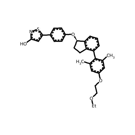 CCOCCOc1cc(C)c(-c2cccc3c2CC[C@H]3Oc2ccc(-c3cc(O)ns3)cc2)c(C)c1